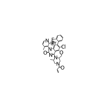 C=CC(=O)N1CC(C)N2c3nc(=O)n(-c4c(C)ccnc4C(C)C)c4c(F)c(-c5ccccc5F)c(Cl)c(c34)OCC2C1